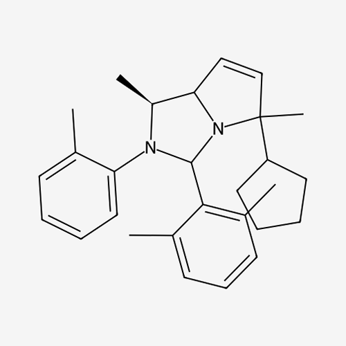 Cc1ccccc1N1C(c2c(C)cccc2C)N2C(C=CC2(C)C2CCCC2)[C@@H]1C